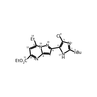 CCCCc1nc(Cl)c(-c2cc3nc(C(=O)OCC)cc(CC)n3n2)[nH]1